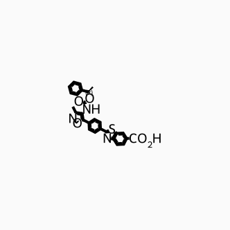 Cc1noc(-c2ccc(-c3nc4ccc(C(=O)O)cc4s3)cc2)c1NC(=O)O[C@H](C)c1ccccc1